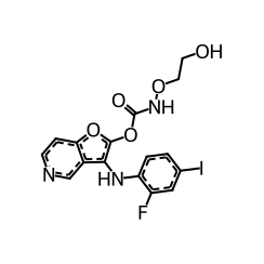 O=C(NOCCO)Oc1oc2ccncc2c1Nc1ccc(I)cc1F